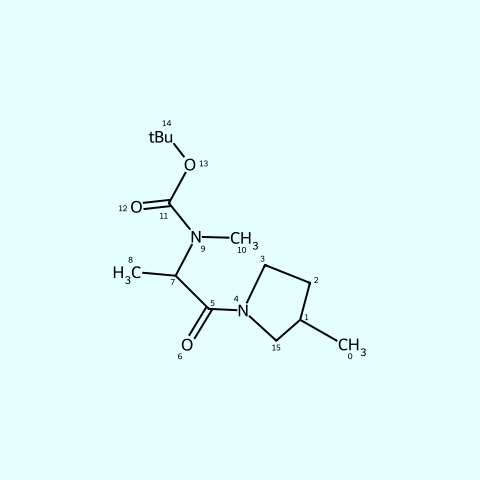 CC1CCN(C(=O)C(C)N(C)C(=O)OC(C)(C)C)C1